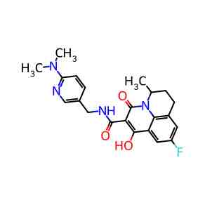 CC1CCc2cc(F)cc3c(O)c(C(=O)NCc4ccc(N(C)C)nc4)c(=O)n1c23